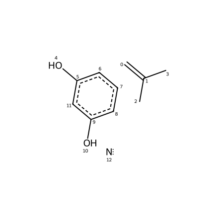 C=C(C)C.Oc1cccc(O)c1.[N]